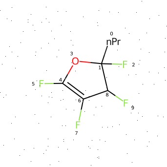 CCCC1(F)OC(F)=C(F)C1F